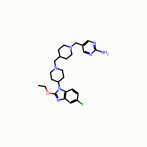 CCOc1nc2cc(F)ccc2n1C1CCN(CC2CCN(Cc3cnc(N)nc3)CC2)CC1